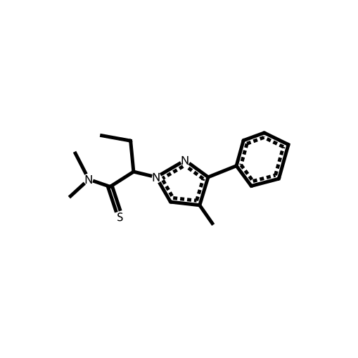 CCC(C(=S)N(C)C)n1cc(C)c(-c2ccccc2)n1